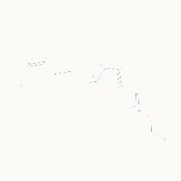 CCO/N=C/c1cnc(SCCC(F)=C(F)F)o1